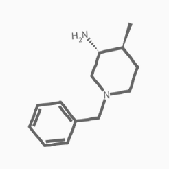 C[C@H]1CCN(Cc2ccccc2)C[C@@H]1N